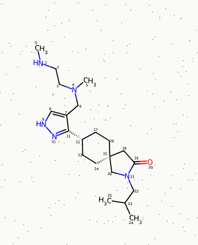 CNCCN(C)Cc1c[nH]nc1[C@H]1CC[C@]2(CC1)CC(=O)N(CC(C)C)C2